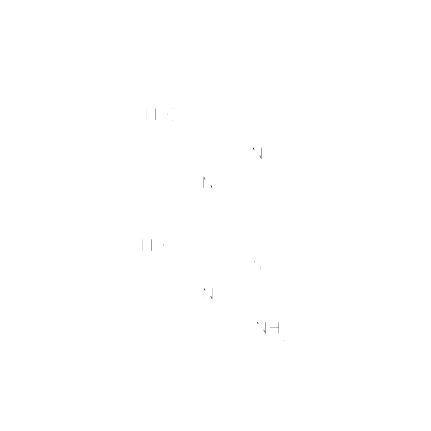 Cc1nc(N)sc1-c1cn2cccc(C)c2n1